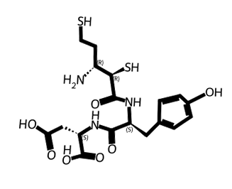 N[C@H](CCS)[C@@H](S)C(=O)N[C@@H](Cc1ccc(O)cc1)C(=O)N[C@@H](CC(=O)O)C(=O)O